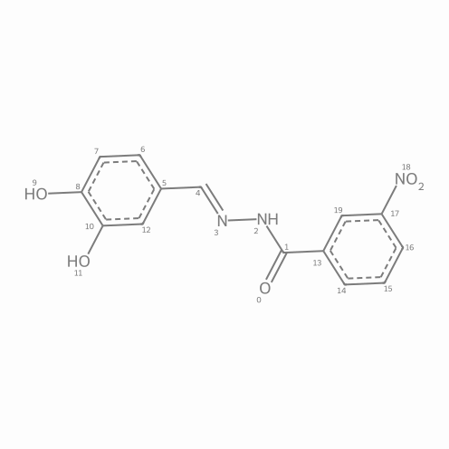 O=C(N/N=C/c1ccc(O)c(O)c1)c1cccc([N+](=O)[O-])c1